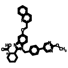 COc1ncc(-c2ccc(Cn3c(C4CCCC[C@@H]4C(=O)O)nc4cc(OCc5ccc6ccccc6n5)ccc43)cc2)cn1